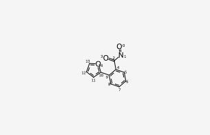 O=NC(=O)c1ccccc1-c1ccco1